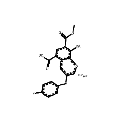 COC(=O)c1cc(C(=O)O)c2cc(Cc3ccc(F)cc3)cnc2c1O.[Na].[Na]